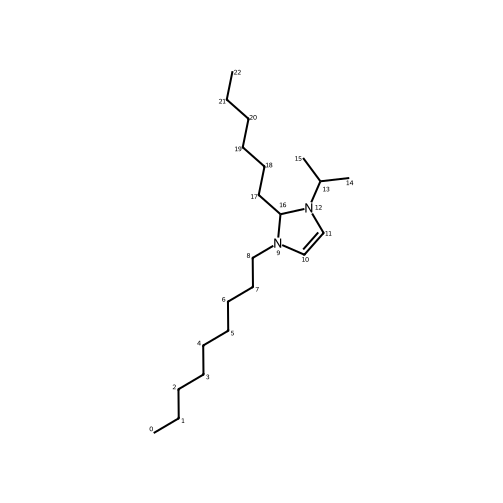 CCCCCCCCCN1C=CN(C(C)C)C1CCCCCC